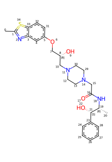 Cc1nc2cc(OC[C@H](O)CN3CCN(CC(=O)N[C@H](C)[C@@H](O)c4ccccc4)CC3)ccc2s1